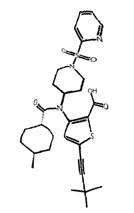 CC(C)(C)C#Cc1cc(N(C(=O)[C@H]2CC[C@H](C)CC2)C2CCN(S(=O)(=O)c3ccccn3)CC2)c(C(=O)O)s1